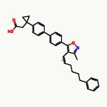 Cc1noc(-c2ccc(-c3ccc(C4(CC(=O)O)CC4)cc3)cc2)c1/C=C\CCCCc1ccccc1